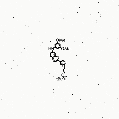 COc1cc(Nc2ccc3ncc(-c4cnn(CCCO[Si](C)(C)C(C)(C)C)c4)nc3c2)cc(OC)c1